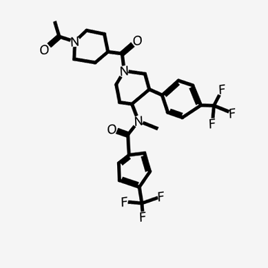 CC(=O)N1CCC(C(=O)N2CCC(N(C)C(=O)c3ccc(C(F)(F)F)cc3)C(c3ccc(C(F)(F)F)cc3)C2)CC1